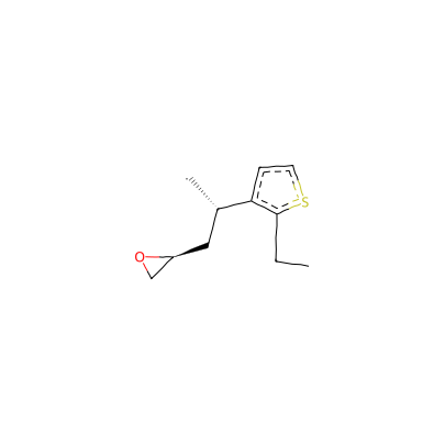 [CH2][C@@H](C[C@H]1CO1)c1ccsc1CC